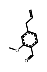 C=CCc1ccc(C=O)c(OC)c1